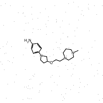 CN1CCCN(CCOC2CCN(c3ccc(N)cc3)C2)CC1